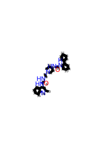 Cc1cc(NC(=O)NCCN2CCC(NC(=O)Nc3ccccc3-c3ccccc3)CC2)c2ccccc2n1